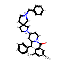 O=C(c1cc(C(F)(F)F)cc(C(F)(F)F)c1)N1CCC(N2CCC3(CCN(Cc4ccccc4)C3)C2)CC1Cc1ccccc1